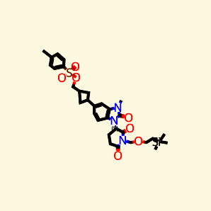 Cc1ccc(S(=O)(=O)OCC2CC(c3ccc4c(c3)n(C)c(=O)n4[C@H]3CCC(=O)N(COCC[Si](C)(C)C)C3=O)C2)cc1